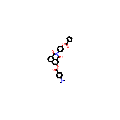 CN(C)c1ccc(C(=O)Oc2cc3c4c(cccc4c2)C(=O)N(c2ccc(OC(=O)C4=CC=CC4)cc2)C3=O)cc1